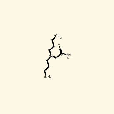 CCCCN(CCCC)SC(=S)S